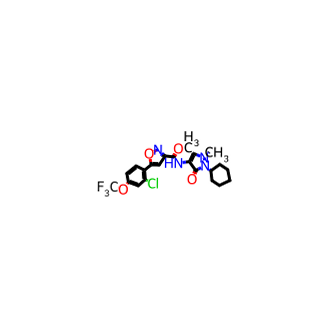 Cc1c(NC(=O)c2cc(-c3ccc(OC(F)(F)F)cc3Cl)on2)c(=O)n(C2CCCCC2)n1C